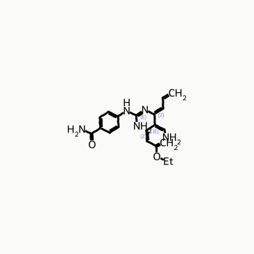 C=C/C=C(\N=C(/N)Nc1ccc(C(N)=O)cc1)C(/C=C\C(=C)OCC)=C/N